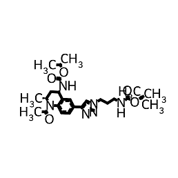 CC(=O)N1c2ccc(-c3cn(CCCNC(=O)OC(C)(C)C)nn3)cc2[C@H](NC(=O)OC(C)C)C[C@@H]1C